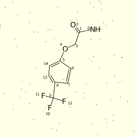 [NH]C(=O)COc1ccc(C(F)(F)F)cc1